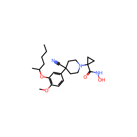 CCCCC(C)Oc1cc(C2(C#N)CCN(C3(C(=O)NO)CC3)CC2)ccc1OC